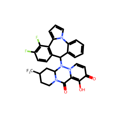 O=C1c2c(O)c(=O)ccn2N(C2c3ccccc3-n3cccc3-c3c2ccc(F)c3F)C2CC(C(F)(F)F)CCN12